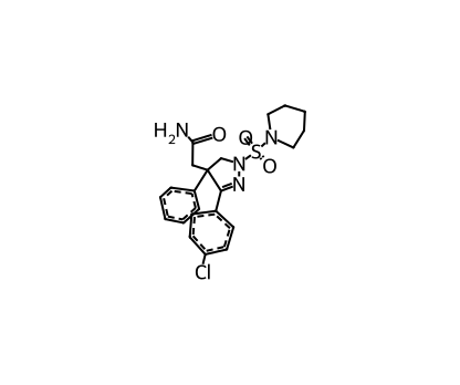 NC(=O)CC1(c2ccccc2)CN(S(=O)(=O)N2CCCCC2)N=C1c1ccc(Cl)cc1